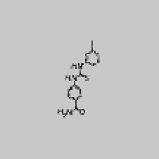 NC(=O)c1ccc(NC(=S)Nc2cccc(I)c2)cc1